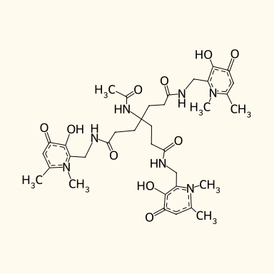 CC(=O)NC(CCC(=O)NCc1c(O)c(=O)cc(C)n1C)(CCC(=O)NCc1c(O)c(=O)cc(C)n1C)CCC(=O)NCc1c(O)c(=O)cc(C)n1C